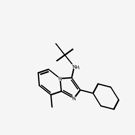 Cc1cccn2c(NC(C)(C)C)c(C3CCCCC3)nc12